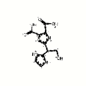 O=C(O)c1nc(C(CO)c2ncc[nH]2)[nH]c1C(=O)O